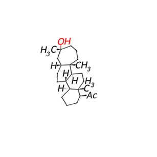 CC(=O)[C@H]1CCC[C@H]2[C@@H]3CC[C@@H]4C[C@](C)(O)CCC[C@]4(C)[C@H]3CC[C@]12C